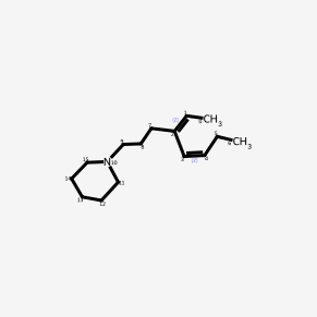 C/C=C(\C=C/CC)CCCN1CCCCC1